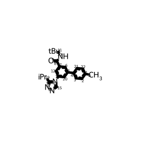 Cc1ccc(-c2cc(C(=O)NC(C)(C)C)cc(-n3cnnc3C(C)C)c2)cc1